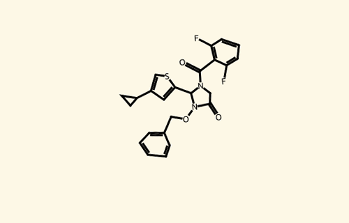 O=C(c1c(F)cccc1F)N1CC(=O)N(OCc2ccccc2)C1c1cc(C2CC2)cs1